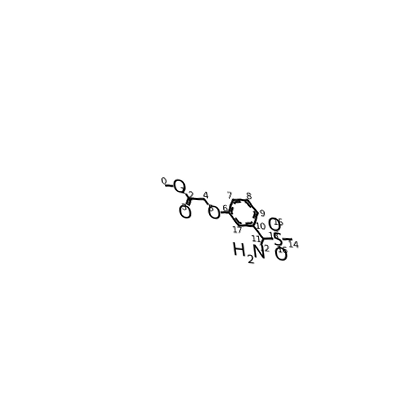 COC(=O)COc1cccc(C(N)S(C)(=O)=O)c1